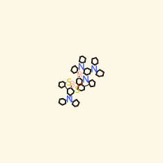 c1ccc(-c2ccccc2N2c3cc4c(cc3B3c5ccccc5N(c5ccccc5)c5cc(N(c6ccccc6)c6ccccc6)cc2c53)B2Sc3ccccc3-c3cc(N(c5ccccc5)c5ccccc5)cc(c32)S4)cc1